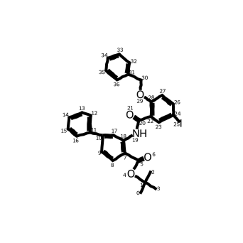 CC(C)(C)OC(=O)c1ccc(-c2ccccc2)cc1NC(=O)c1cc(I)ccc1OCc1ccccc1